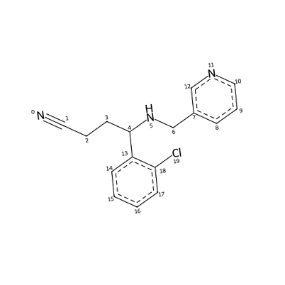 N#CCCC(NCc1cccnc1)c1ccccc1Cl